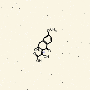 COc1ccc2c(c1)CC(C)/C(=C(/O)C(=O)O)C2=O